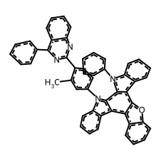 Cc1cc(-n2c3ccccc3c3c4c5ccccc5oc4c4c5ccccc5n(-c5ccccc5)c4c32)ccc1-c1nc(-c2ccccc2)c2ccccc2n1